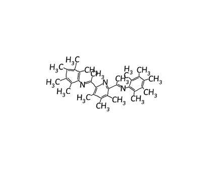 C/C(=N\c1c(C)c(C)c(C)c(C)c1C)c1nc(/C(C)=N/c2c(C)c(C)c(C)c(C)c2C)c(C)c(C)c1C